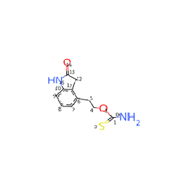 NC(=S)OCCc1cccc2c1CC(=O)N2